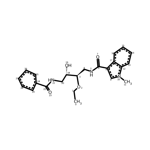 CCO[C@H](CNC(=O)c1cn(C)c2ccccc12)[C@@H](O)CNC(=O)c1ccccc1